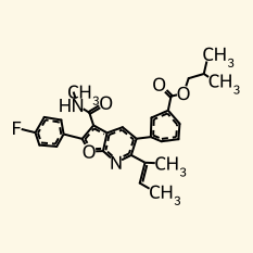 C/C=C(\C)c1nc2oc(-c3ccc(F)cc3)c(C(=O)NC)c2cc1-c1cccc(C(=O)OCC(C)C)c1